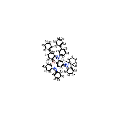 CC12CCCCC1(C)N(c1cc3c4c(c1)N(c1cccc(-c5ccccc5)c1)c1cc(-c5ccccc5)ccc1B4c1ccccc1N3c1ccccc1)c1ccccc12